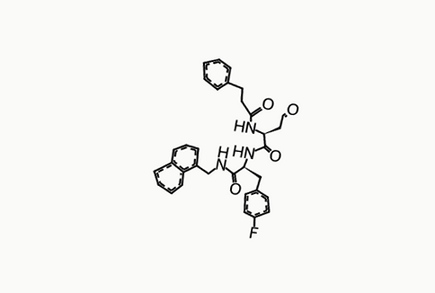 O=CC[C@H](NC(=O)CCc1ccccc1)C(=O)N[C@@H](Cc1ccc(F)cc1)C(=O)NCc1cccc2ccccc12